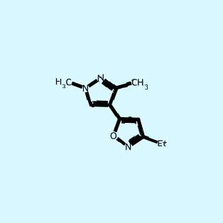 CCc1cc(-c2cn(C)nc2C)on1